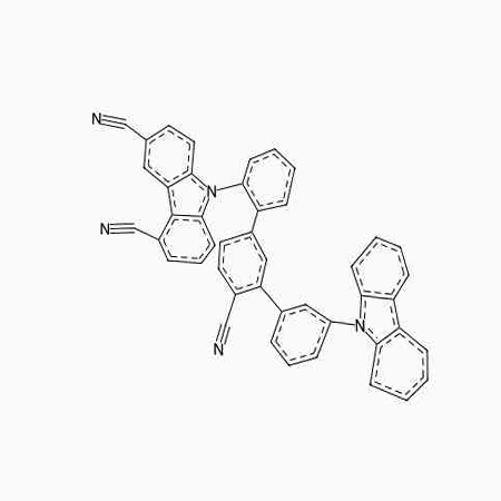 N#Cc1ccc2c(c1)c1c(C#N)cccc1n2-c1ccccc1-c1ccc(C#N)c(-c2cccc(-n3c4ccccc4c4ccccc43)c2)c1